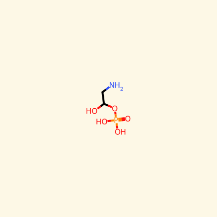 NCC(O)OP(=O)(O)O